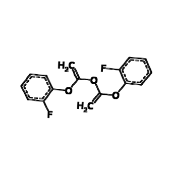 C=C(OC(=C)Oc1ccccc1F)Oc1ccccc1F